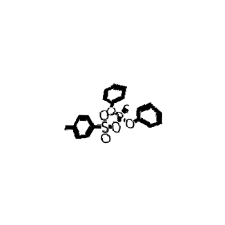 Cc1ccc(S(=O)(=O)OP(=S)(Oc2ccccc2)Oc2ccccc2)cc1